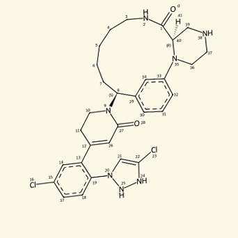 O=C1NCCCCC[C@H](N2CCC(c3cc(Cl)ccc3N3C=C(Cl)NN3)=CC2=O)c2cccc(c2)N2CCNC[C@H]12